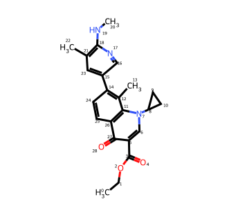 CCOC(=O)c1cn(C2CC2)c2c(C)c(-c3cnc(NC)c(C)c3)ccc2c1=O